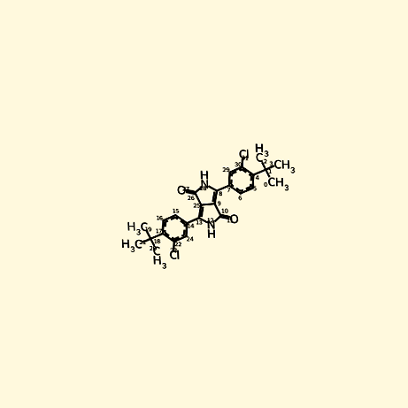 CC(C)(C)c1ccc(C2=C3C(=O)NC(c4ccc(C(C)(C)C)c(Cl)c4)=C3C(=O)N2)cc1Cl